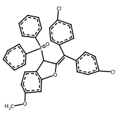 COc1ccc2c(c1)OC(=C(c1ccc(Cl)cc1)c1ccc(Cl)cc1)C2P(=O)(c1ccccc1)c1ccccc1